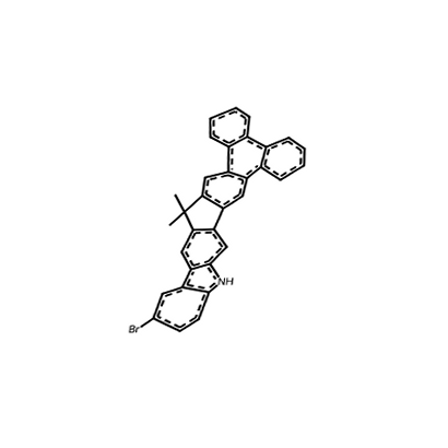 CC1(C)c2cc3c(cc2-c2cc4c5ccccc5c5ccccc5c4cc21)[nH]c1ccc(Br)cc13